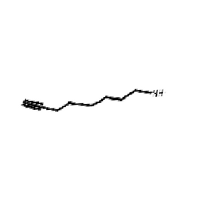 C#CCCCCCC[NH]